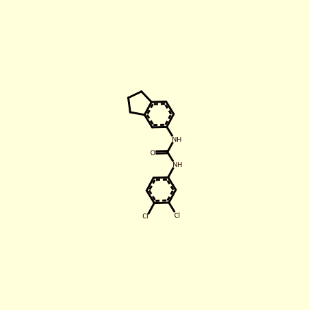 O=C(Nc1ccc(Cl)c(Cl)c1)Nc1ccc2c(c1)CCC2